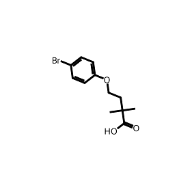 CC(C)(CCOc1ccc(Br)cc1)C(=O)O